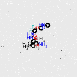 COc1c(CC(N)=O)cc(C(C)(C)C)cc1NC(=O)Nc1ccc(Oc2ccnc(Nc3ccccc3)c2)c(F)c1F